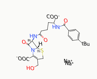 CC(C)(C)c1ccc(C(=O)NC(CCCC(=O)N[C@@H]2C(=O)N3C(C(=O)[O-])=C(CO)CS[C@@H]23)C(=O)[O-])cc1.[Na+].[Na+]